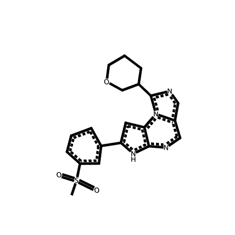 CS(=O)(=O)c1cccc(-c2cc3c(ncc4cnc(C5CCCOC5)n43)[nH]2)c1